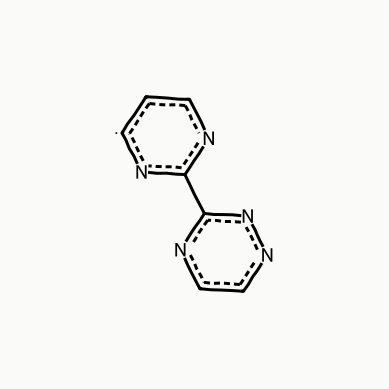 [c]1ccnc(-c2nccnn2)n1